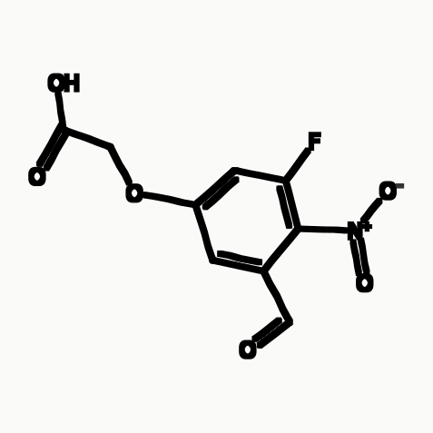 O=Cc1cc(OCC(=O)O)cc(F)c1[N+](=O)[O-]